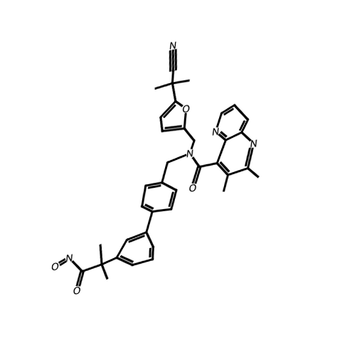 Cc1nc2cccnc2c(C(=O)N(Cc2ccc(-c3cccc(C(C)(C)C(=O)N=O)c3)cc2)Cc2ccc(C(C)(C)C#N)o2)c1C